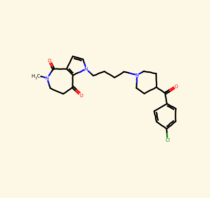 CN1CCC(=O)c2c(ccn2CCCCN2CCC(C(=O)c3ccc(Cl)cc3)CC2)C1=O